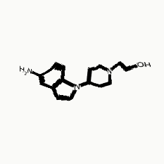 Nc1ccc2c(ccn2C2CCN(CCO)CC2)c1